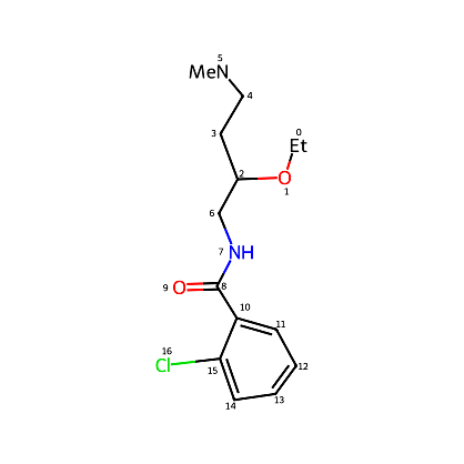 CCOC(CCNC)CNC(=O)c1ccccc1Cl